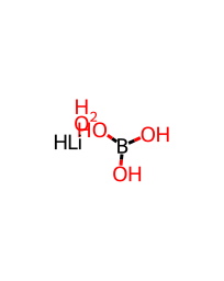 O.OB(O)O.[LiH]